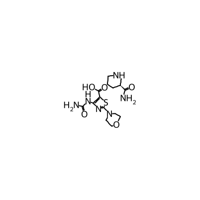 NC(=O)Nc1nc(N2CCOCC2)sc1C(=O)O.NC(=O)[C@H]1CCCNC1